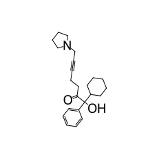 O=C(CCC#CCN1CCCC1)C(O)(c1ccccc1)C1CCCCC1